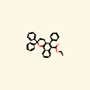 CCOC(=O)c1c(-c2ccccc2)c2c(c3ccccc13)OC(c1ccccc1)(c1ccccc1)C=C2